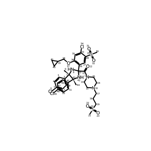 C[C@@]1(c2ccc(Cl)cc2)NC(C(=O)N2CCN(CCCS(C)(=O)=O)CC2)(c2cc(S(C)(=O)=O)c(Cl)cc2OCC2CC2)N[C@]1(C)c1ccc(Cl)cc1